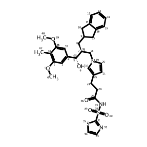 COc1cc([C@@H](O)[C@@H](CC2Cc3ccccc3C2)Cn2ccc(CCC(=O)NS(=O)(=O)c3nccs3)c2)cc(OC)c1C